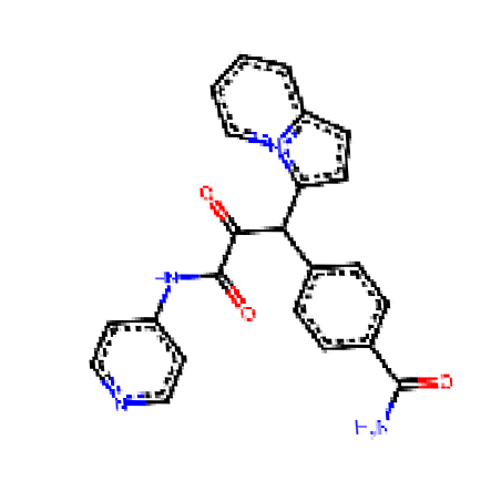 NC(=O)c1ccc(C(C(=O)C(=O)Nc2ccncc2)c2ccc3ccccn23)cc1